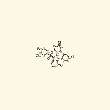 O=c1cccc2n1C(c1ccc(Cl)cc1)C(c1ccc(Cl)cc1)N2S(=O)(=O)c1ccc(F)c(Cl)c1